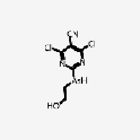 N#Cc1c(Cl)nc([AsH]CCO)nc1Cl